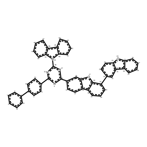 c1ccc(-c2ccc(-c3nc(-c4ccc5c(c4)oc4c(-c6ccc7oc8ccccc8c7c6)cccc45)nc(-n4c5ccccc5c5ccccc54)n3)cc2)cc1